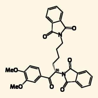 COc1ccc(C(=O)[C@H](CCCCN2C(=O)c3ccccc3C2=O)N2C(=O)c3ccccc3C2=O)cc1OC